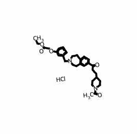 CCOC(=O)COc1cccc(CN2CCc3ccc(C(=O)CCC4CCN(C(C)=O)CC4)cc3CC2)c1.Cl